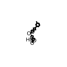 Cc1cccc(C2CC3(C2)CN(C(=O)[C@H]2C[C@]4(COC(=O)N4)C2)C3)c1